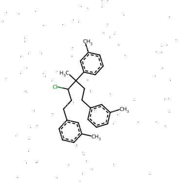 Cc1cccc(CC[C](Cl)C(C)(CCc2cccc(C)c2)c2cccc(C)c2)c1